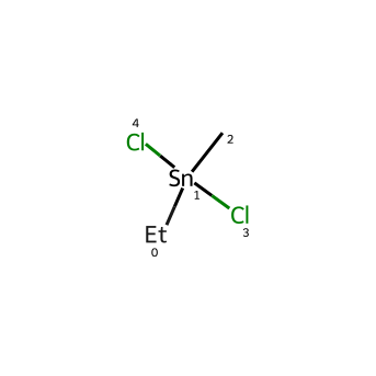 C[CH2][Sn]([CH3])([Cl])[Cl]